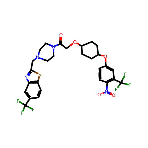 O=C(COC1CCC(Oc2ccc([N+](=O)[O-])c(C(F)(F)F)c2)CC1)N1CCN(Cc2nc3cc(C(F)(F)F)ccc3s2)CC1